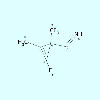 CC1=C(F)C1(C=N)C(F)(F)F